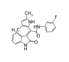 Cc1cc(C)c(C(C(=O)Nc2cccc(F)c2)=C2C(=O)Nc3ccccc32)[nH]1